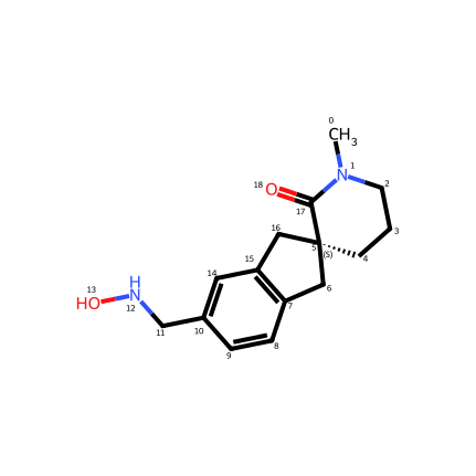 CN1CCC[C@@]2(Cc3ccc(CNO)cc3C2)C1=O